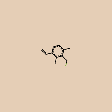 C=Cc1ccc(C)c(CF)c1C